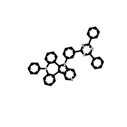 c1ccc(-c2nc(-c3ccccc3)nc(-c3cccc(-n4c5c(c6cnccc64)-c4ccccc4N(c4ccccc4)c4ccccc4-5)c3)n2)cc1